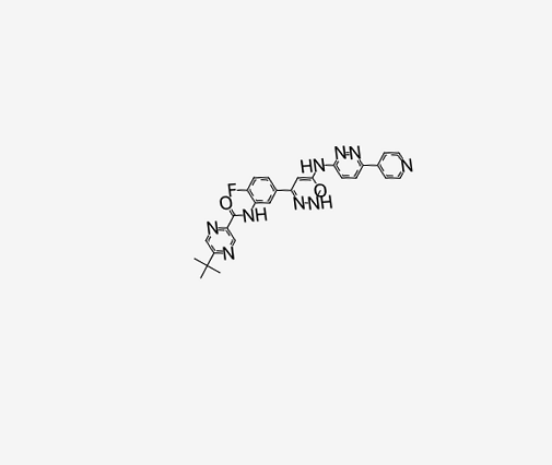 CC(C)(C)c1cnc(C(=O)Nc2cc(C3=NNOC(Nc4ccc(-c5ccncc5)nn4)=C3)ccc2F)cn1